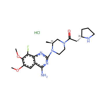 COc1cc2c(N)nc(N3CCN(C(=O)C[C@@H]4CCCN4)C[C@@H]3C)nc2c(F)c1OC.Cl